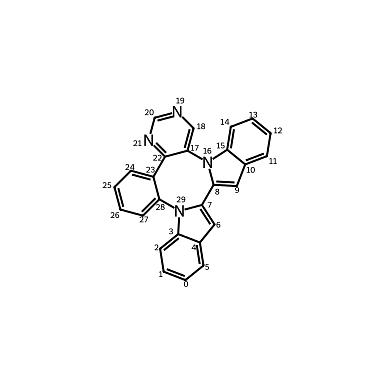 c1ccc2c(c1)cc1c3cc4ccccc4n3c3cncnc3c3ccccc3n21